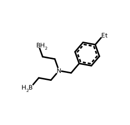 BCCN(CCB)Cc1ccc(CC)cc1